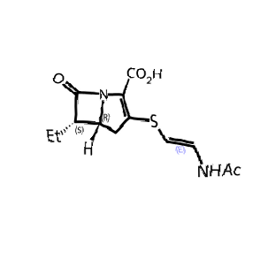 CC[C@@H]1C(=O)N2C(C(=O)O)=C(S/C=C/NC(C)=O)C[C@H]12